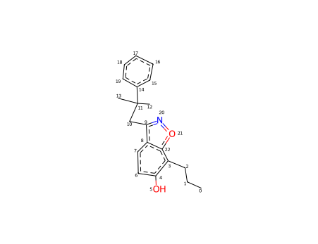 CCCc1c(O)ccc2c(CC(C)(C)c3ccccc3)noc12